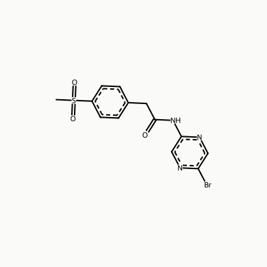 CS(=O)(=O)c1ccc(CC(=O)Nc2cnc(Br)cn2)cc1